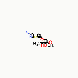 CCCc1c(OCc2cccc(Sc3ccc(C#N)nc3)c2)ccc(C(C)=O)c1O